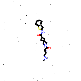 CN(C)C/C=C/C(=O)N1CC2(CC(C(=O)Nc3cc4ccccc4s3)C2)C1